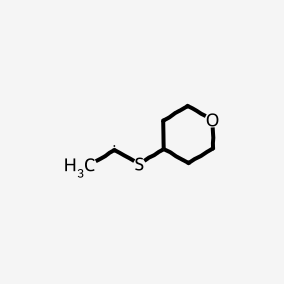 C[CH]SC1CCOCC1